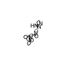 O=C([C@@H]1CC[C@H](c2ccccc2)N(S(=O)(=O)c2ccccc2)C1)N1CCC(c2nc3ncccc3[nH]2)CC1